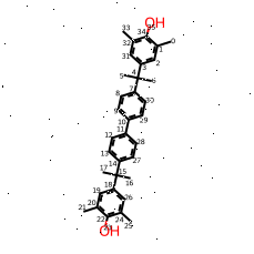 Cc1cc(C(C)(C)c2ccc(-c3ccc(C(C)(C)c4cc(C)c(O)c(C)c4)cc3)cc2)cc(C)c1O